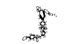 COc1cc(OC)cc(N2CCN(S(=O)(=O)c3ccc(CNC(=O)c4ccc(Cl)cc4)s3)CC2)c1